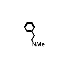 CNCCC1=CC=C=C=C1